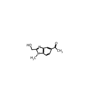 CC(=O)c1ccc2c(c1)nc(CO)n2C